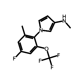 CNc1ccn(-c2c(C)cc(F)cc2OC(F)(F)F)c1